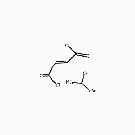 CCCCC(O)O.O=C(Cl)/C=C/C(=O)Cl